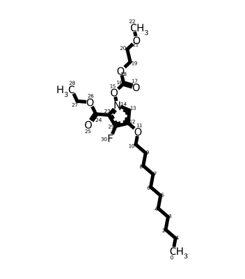 CCCCCCCCCCCOc1cn(OC(=O)OCCOC)c(C(=O)OCC)c1F